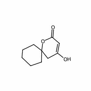 O=C1C=C(O)CC2(CCCCC2)O1